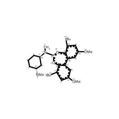 CN[C@@H]1CCC[C@@H](N(C)p2oc3c(C(C)(C)C)cc(OC)cc3c3cc(OC)cc(C(C)(C)C)c3o2)C1